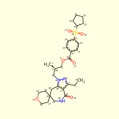 CCc1nn(C[C@@H](C)COC(=O)c2ccc(S(=O)(=O)C3CCCC3)cc2)c2c1C(=O)NCC1(CCOCC1)C2